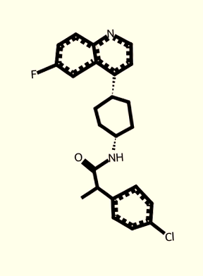 CC(C(=O)N[C@H]1CC[C@@H](c2ccnc3ccc(F)cc32)CC1)c1ccc(Cl)cc1